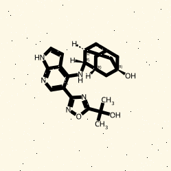 CC(C)(O)c1nc(-c2cnc3[nH]ccc3c2N[C@H]2[C@@H]3CC4C[C@H]2C[C@](O)(C4)C3)no1